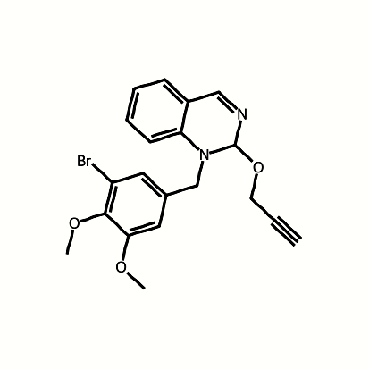 C#CCOC1N=Cc2ccccc2N1Cc1cc(Br)c(OC)c(OC)c1